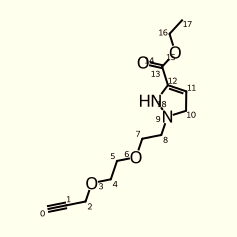 C#CCOCCOCCN1CC=C(C(=O)OCC)N1